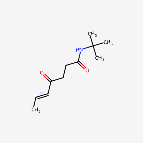 C/C=C/C(=O)CCC(=O)NC(C)(C)C